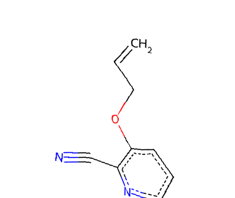 C=CCOc1cccnc1C#N